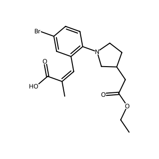 CCOC(=O)CC1CCN(c2ccc(Br)cc2C=C(C)C(=O)O)C1